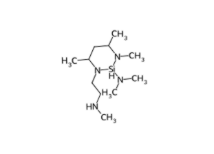 CNCCN1C(C)CC(C)N(C)[SiH]1N(C)C